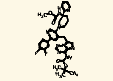 COC(=O)NC1(c2ccccn2)CCCN(c2cnc(-c3ccc(F)c(F)c3)cc2Cc2cnc3c(NC(=O)OC(C)(C)C)ncnn23)C1